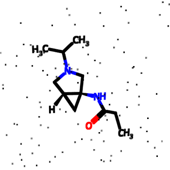 CCC(=O)N[C@@]12C[C@@H]1CN(C(C)C)C2